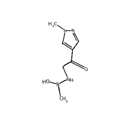 CB(O)NCC(=O)c1cnn(C)c1